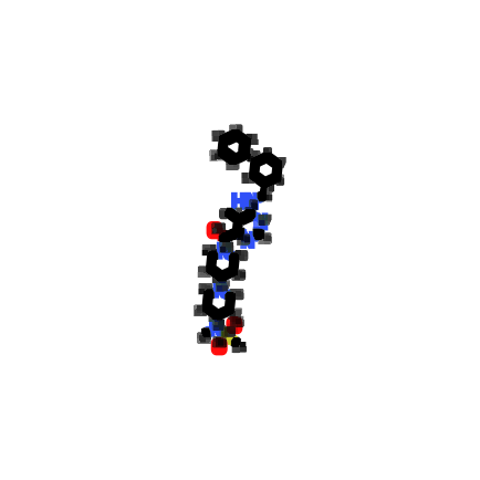 Cc1c(NC[C@@H]2CCC[C@@H](c3ccccc3)C2)ncnc1C(=O)N1CCC(N2CCC(N(C)S(C)(=O)=O)CC2)CC1